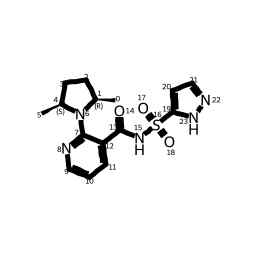 C[C@@H]1CC[C@H](C)N1c1ncccc1C(=O)NS(=O)(=O)c1ccn[nH]1